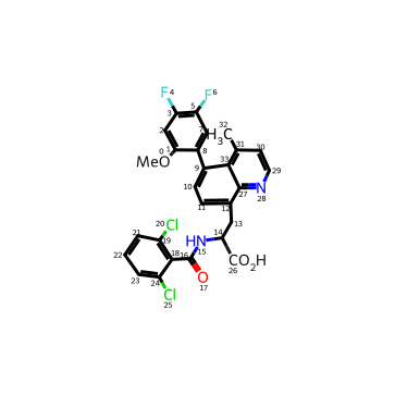 COc1cc(F)c(F)cc1-c1ccc(CC(NC(=O)c2c(Cl)cccc2Cl)C(=O)O)c2nccc(C)c12